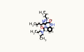 C=CCN(CCC)CC(=O)N1c2ccccc2NC(=O)c2c1c(CCCC)nn2CCCC